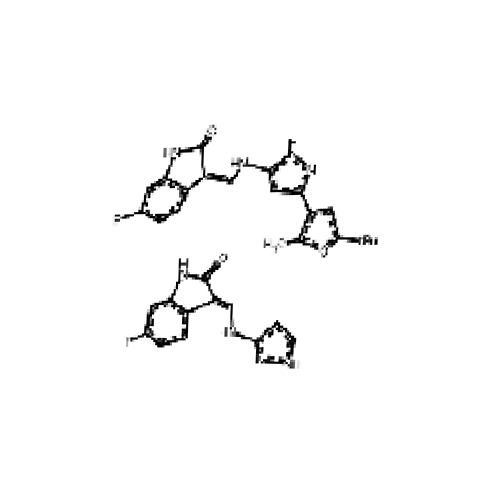 Cc1oc(C(C)(C)C)cc1-c1cc(NC=C2C(=O)Nc3cc(F)ccc32)[nH]n1.O=C1Nc2cc(F)ccc2C1=CNc1cc[nH]n1